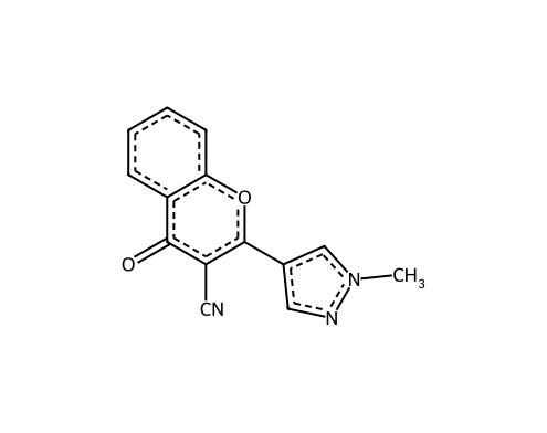 Cn1cc(-c2oc3ccccc3c(=O)c2C#N)cn1